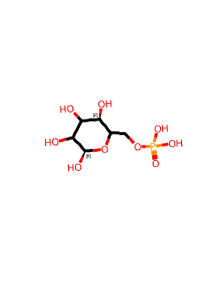 O=P(O)(O)OCC1O[C@@H](O)C(O)C(O)[C@H]1O